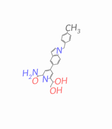 Cc1ccc(Cn2ccc3cc(-c4cc(C(N)=O)nc([C@@H](O)CO)c4)ccc32)cc1